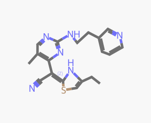 CCC1=CS/C(=C(\C#N)c2nc(NCCc3cccnc3)ncc2C)N1